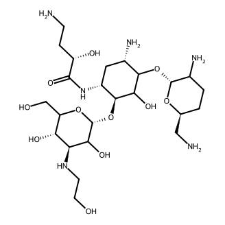 NCC[C@H](O)C(=O)N[C@@H]1C[C@H](N)C(O[C@H]2O[C@H](CN)CCC2N)C(O)[C@H]1O[C@H]1OC(CO)[C@@H](O)[C@H](NCCO)C1O